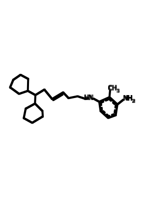 Cc1c(N)cccc1NCCCC=CCC(C1CCCCC1)C1CCCCC1